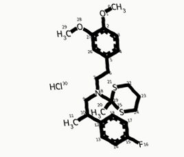 COc1ccc(CCN(CC(C)c2ccc(F)cc2)C2(C)SCCCS2)cc1OC.Cl